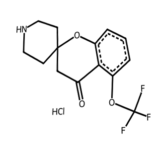 Cl.O=C1CC2(CCNCC2)Oc2cccc(OC(F)(F)F)c21